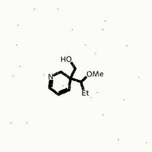 CCC(OC)C1(CO)C=CC=NC1